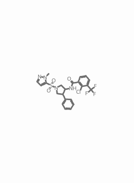 Cn1nccc1S(=O)(=O)N1CC(NC(=O)c2cccc(C(F)(F)F)c2Cl)C(c2ccccc2)C1